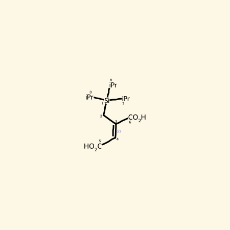 CC(C)[Si](C/C(=C\C(=O)O)C(=O)O)(C(C)C)C(C)C